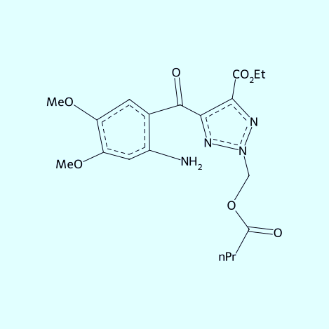 CCCC(=O)OCn1nc(C(=O)OCC)c(C(=O)c2cc(OC)c(OC)cc2N)n1